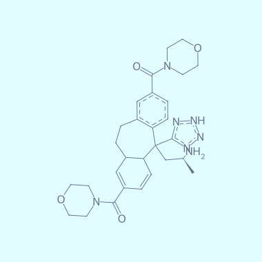 C[C@H](N)CC1(c2nn[nH]n2)c2ccc(C(=O)N3CCOCC3)cc2CCC2C=C(C(=O)N3CCOCC3)C=CC21